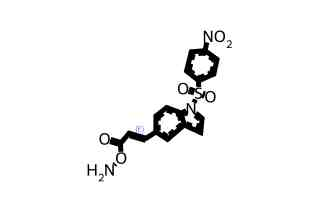 NOC(=O)/C=C/c1ccc2c(ccn2S(=O)(=O)c2ccc([N+](=O)[O-])cc2)c1